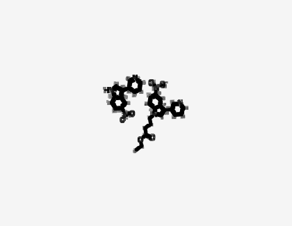 CCOC(=O)CCCn1cc(-c2cccnc2)c2cc([N+](=O)[O-])ccc21.O=[N+]([O-])c1ccc2[nH]cc(-c3cccnc3)c2c1